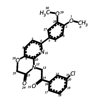 COc1ccc(-c2ccc3c(n2)N(CC(=O)c2cccc(Cl)c2)C(=O)CO3)cc1OC